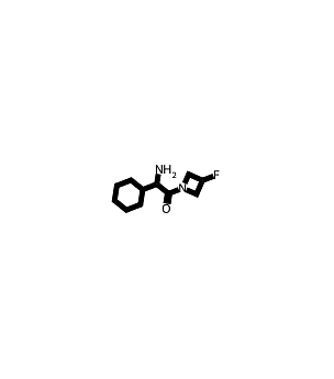 NC(C(=O)N1CC(F)C1)C1CCCCC1